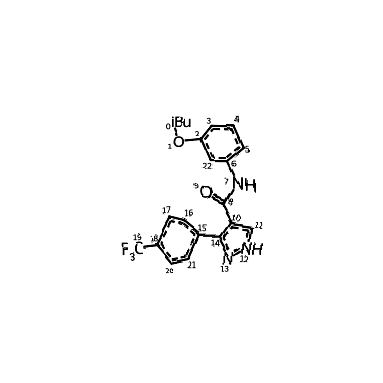 CCC(C)Oc1cccc(NC(=O)c2c[nH]nc2-c2ccc(C(F)(F)F)cc2)c1